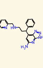 Nc1cc(C(CCNCc2ccccn2)c2ccccc2)c2nn[nH]c2n1